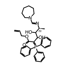 C=CCOC(=O)C([C](O)C(O)[C@H](C)N=CN1CCCCCC1)=P(c1ccccc1)(c1ccccc1)c1ccccc1